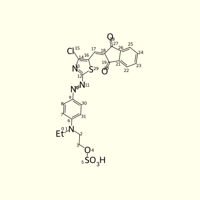 CCN(CCOS(=O)(=O)O)c1ccc(N=Nc2nc(Cl)c(C=C3C(=O)c4ccccc4C3=O)s2)cc1